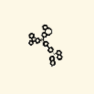 c1ccc2c(c1)CCCCc1cc(N(c3ccc(-c4ccc(N(c5ccc6ccccc6c5)c5cccc6ccccc56)cc4)cc3)c3ccc4c(c3)-c3ccccc3C43CCCC3)ccc1-2